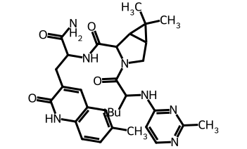 Cc1ccc2[nH]c(=O)c(CC(NC(=O)C3C4C(CN3C(=O)C(Nc3ccnc(C)n3)C(C)(C)C)C4(C)C)C(N)=O)cc2c1